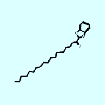 CCCCCCCCCCCCCCCCCC(=O)c1nc2ccccc2o1